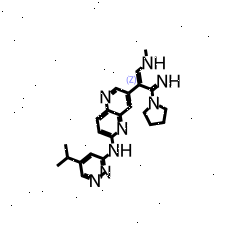 CN/C=C(\C(=N)N1CCCC1)c1cnc2ccc(Nc3cc(C(C)C)cnn3)nc2c1